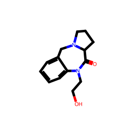 O=C1C2CCCN2Cc2ccccc2N1CCO